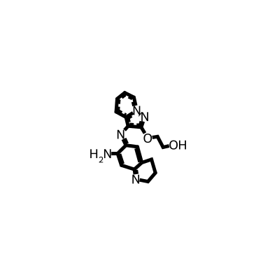 NC1=CC2=NCCCC2=C/C1=N\c1c(OCCO)nn2ccccc12